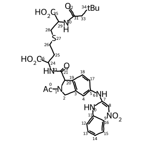 CC(=O)N1Cc2cc(NC(=C[N+](=O)[O-])Nc3ccccc3)ccc2C1C(=O)NC(CCSCC(NC(=O)CC(C)(C)C)C(=O)O)C(=O)O